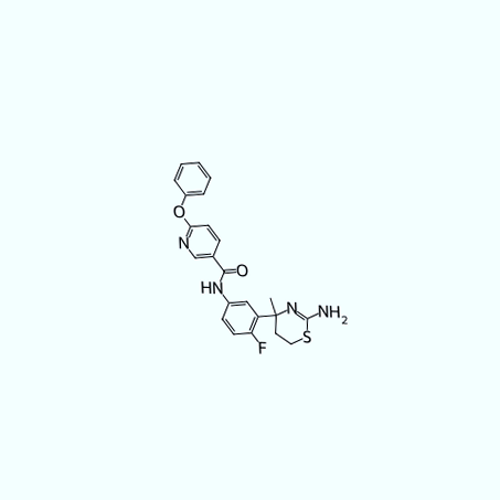 CC1(c2cc(NC(=O)c3ccc(Oc4ccccc4)nc3)ccc2F)CCSC(N)=N1